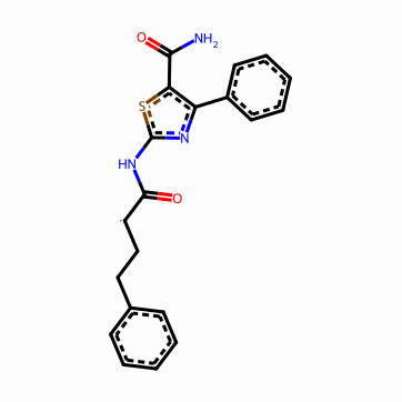 NC(=O)c1sc(NC(=O)[CH]CCc2ccccc2)nc1-c1ccccc1